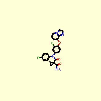 NC(=O)C1(C(=O)N(c2ccc(F)cc2)c2ccc(Oc3cccn4ccnc34)c(F)c2)CC1